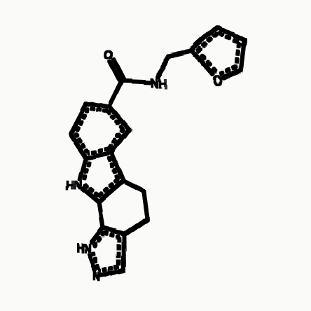 O=C(NCc1ccco1)c1ccc2[nH]c3c(c2c1)CCc1cn[nH]c1-3